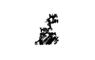 Cc1ccc(CNC2=NC(C)N=C(N)N2)[nH]1